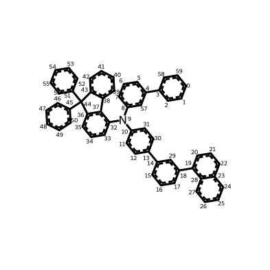 c1ccc(-c2cccc(N(c3ccc(-c4cccc(-c5cccc6ccccc56)c4)cc3)c3cccc4c3-c3ccccc3C4(c3ccccc3)c3ccccc3)c2)cc1